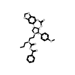 CCCN(CCN1C[C@H](c2ccc3c(c2)OCO3)[C@H](OC(=O)O)[C@H]1c1ccc(OC)cc1)C(=O)OC(=O)c1ccccc1